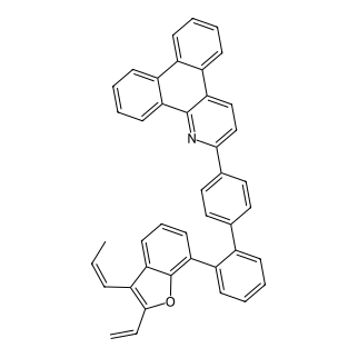 C=Cc1oc2c(-c3ccccc3-c3ccc(-c4ccc5c6ccccc6c6ccccc6c5n4)cc3)cccc2c1/C=C\C